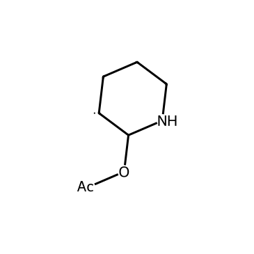 CC(=O)OC1[CH]CCCN1